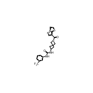 O=C(Nc1cccc(C(F)(F)F)c1)NC1CC2(C1)CN(C(=O)c1cnn3ccsc13)C2